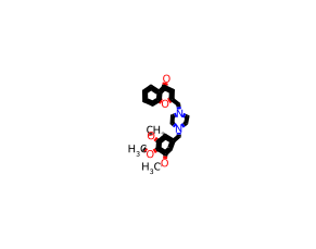 COc1cc(CN2CCN(Cc3cc(=O)c4ccccc4o3)CC2)cc(OC)c1OC